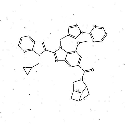 COc1cc(C(=O)N2CC3CC4CC2[C@H]43)cc2nc(-c3cc4cccnc4n3CC3CC3)n(Cc3cnn(-c4ncccn4)c3)c12